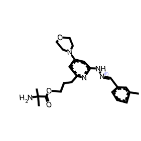 Cc1cccc(/C=N/Nc2cc(N3CCOCC3)cc(CCCOC(=O)C(C)(C)N)n2)c1